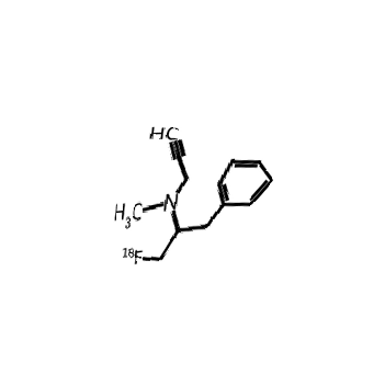 C#CCN(C)C(C[18F])Cc1ccccc1